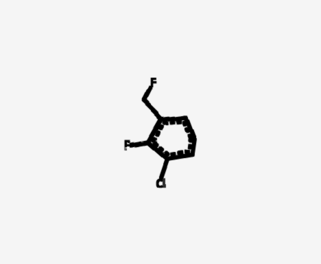 FCc1cccc(Cl)c1F